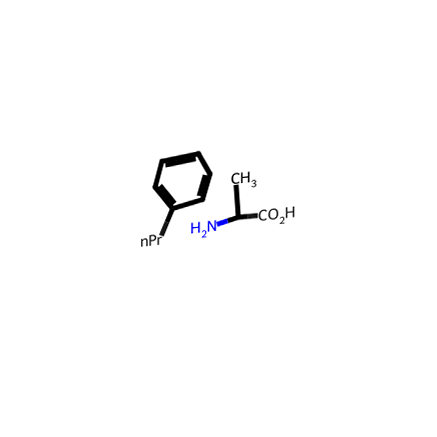 CC(N)C(=O)O.CCCc1ccccc1